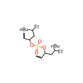 C=CC(CC(CC)CCCC)OS(=O)(=O)OC(C=C)CC(CC)CCCC